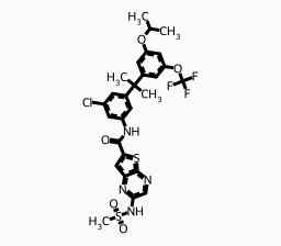 CC(C)Oc1cc(OC(F)(F)F)cc(C(C)(C)c2cc(Cl)cc(NC(=O)c3cc4nc(NS(C)(=O)=O)cnc4s3)c2)c1